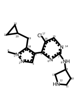 Cn1ncc(-c2nc(NC3CCNC3)ncc2Cl)c1CC1CC1